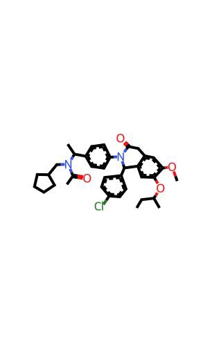 CCC(C)Oc1cc2c(cc1OC)CC(=O)N(c1ccc(C(C)N(CC3CCCC3)C(C)=O)cc1)C2c1ccc(Cl)cc1